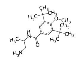 COc1c(C(C)(C)C)cc(C(=O)NC(C)CN)cc1C(C)(C)C